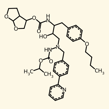 CCCCOc1ccc(CC(NC(=O)OC2COC3OCCC23)C(O)CN(Cc2ccc(-c3ccccn3)cc2)NC(=O)OC(C)C)cc1